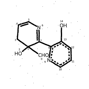 O=CC1(O)CC=CN=C1c1ncccc1O